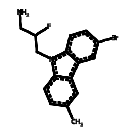 Cc1ccc2c(c1)c1cc(Br)ccc1n2CC(F)CN